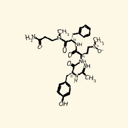 CC(=N)N[C@@H](Cc1ccc(O)cc1)C(=O)N[C@H](CC[S+](C)[O-])C(=O)N[C@@H](Cc1ccccc1)C(=O)N(C)CCC(N)=O